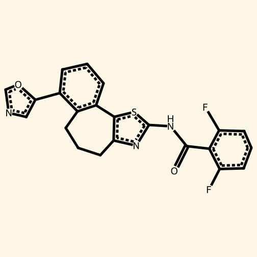 O=C(Nc1nc2c(s1)-c1cccc(-c3cnco3)c1CCC2)c1c(F)cccc1F